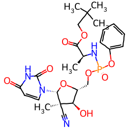 C[C@H](NP(=O)(OC[C@H]1O[C@@H](n2ccc(=O)[nH]c2=O)[C@](C)(C#N)[C@@H]1O)Oc1ccccc1)C(=O)OCC(C)(C)C